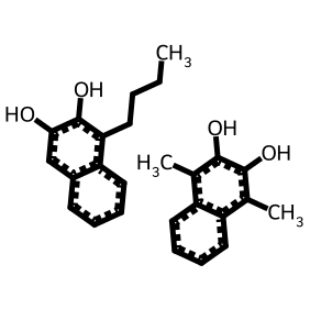 CCCCc1c(O)c(O)cc2ccccc12.Cc1c(O)c(O)c(C)c2ccccc12